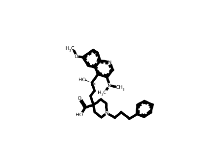 COc1ccc2ncc(N(C)C)c([C@@H](O)CCC3(C(=O)O)CCN(CCCc4ccccc4)CC3)c2c1